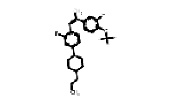 CCCC1CCC(c2ccc(C=C(C)c3ccc(OC(F)(F)F)c(F)c3)c(F)c2)CC1